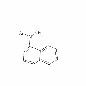 CC(=O)N(C)c1cccc2ccccc12